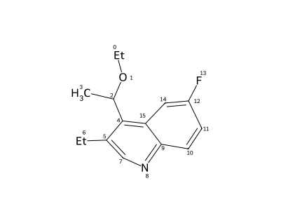 CCOC(C)c1c(CC)cnc2ccc(F)cc12